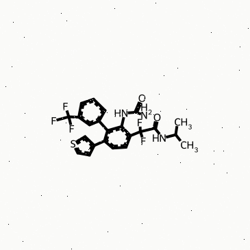 CC(C)NC(=O)C(F)(F)c1ccc(-c2ccsc2)c(-c2cccc(C(F)(F)F)c2)c1NC(N)=O